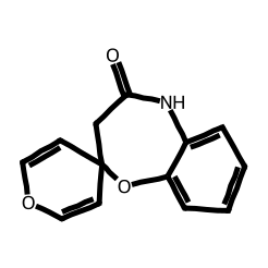 O=C1CC2(C=COC=C2)Oc2ccccc2N1